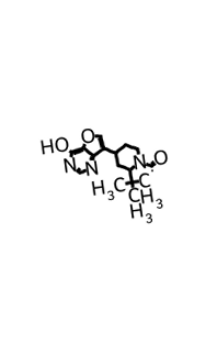 CC(C)(C)C1CC(c2coc3c(O)ncnc23)CCN1[C]=O